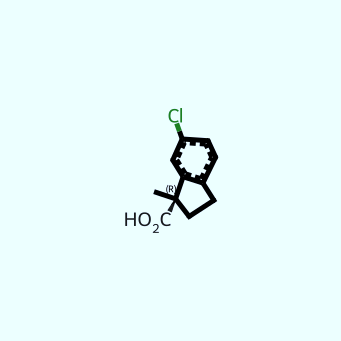 C[C@@]1(C(=O)O)CCc2ccc(Cl)cc21